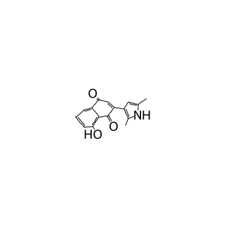 Cc1cc(C2=CC(=O)c3cccc(O)c3C2=O)c(C)[nH]1